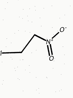 O=[N+]([O-])CCCl